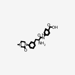 CN1CCN(c2cccc(C[C@H](N)C(=O)Nc3ccc(C(=O)O)cc3)c2)C(=O)C1